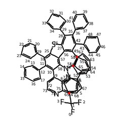 FC(F)(F)c1ccnc2c(-c3c(-c4ccccc4)c(-c4ccccc4)c4sc5c(-c6ccccc6)c(-c6ccccc6)c(-c6ccccc6)c(-c6ccccc6)c5c4c3-n3c4ccccc4c4ccccc43)ccnc12